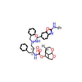 CC(C)Nc1nc2ccc(C(=O)NN(Cc3ccccc3)C[C@H](O)[C@H](Cc3ccccc3)NC(=O)OC3C4COC5OC[C@H]3CC54)cc2o1